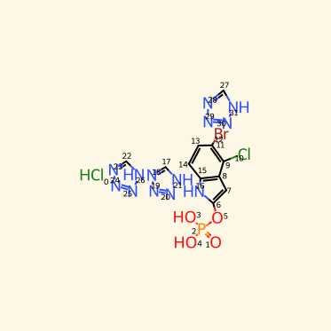 Cl.O=P(O)(O)Oc1cc2c(Cl)c(Br)ccc2[nH]1.c1nnn[nH]1.c1nnn[nH]1.c1nnn[nH]1